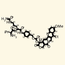 CCc1c2c(nc3ccc(OC)cc13)-c1cc3c(c(=O)n1C2)COC(=O)[C@@]3(CC)OC(=O)OCc1ccc(NC(=O)[C@H](CCCNC(N)=O)NC(=O)[C@@H](N)C(C)C)cc1